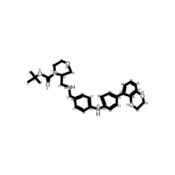 CC(C)(C)OC(=O)N1CCOCC1CNCc1ccc(Nc2ccc(-c3cccc4c3OCCO4)cc2)cc1